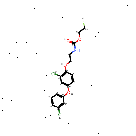 O=C(NCCOc1ccc(Oc2cccc(Cl)c2)cc1Cl)OCCF